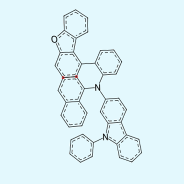 c1ccc(-n2c3ccccc3c3ccc(N(c4ccccc4-c4cccc5oc6ccccc6c45)c4cccc5ccccc45)cc32)cc1